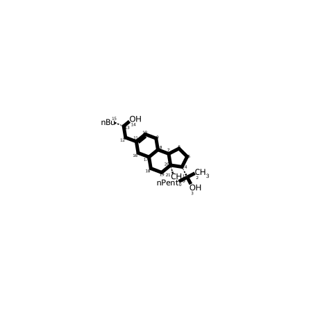 CCCCCC(C)(O)[C@H]1CCC2C3CC=C(C[C@@H](O)CCCC)CC3CC[C@@]21C